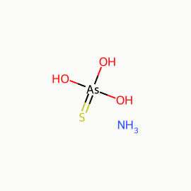 N.O[As](O)(O)=S